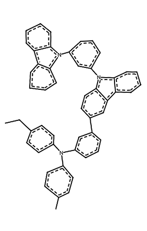 CCc1ccc(N(c2ccc(C)cc2)c2cccc(-c3ccc4c(c3)c3ccccc3n4-c3cccc(-n4c5ccccc5c5ccccc54)c3)c2)cc1